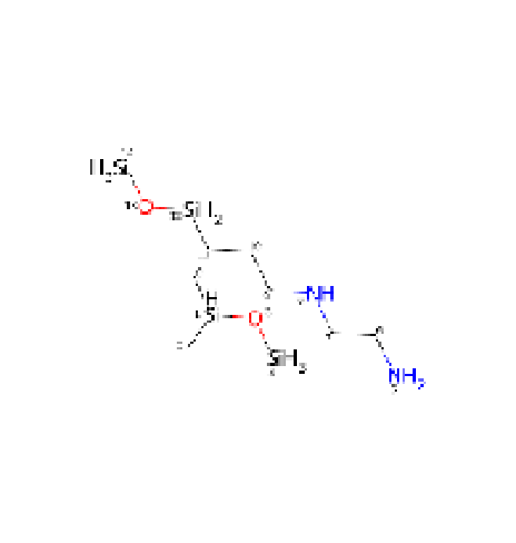 C[SiH](C)O[SiH3].NCCNCCC[SiH2]O[SiH3]